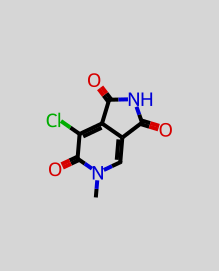 Cn1cc2c(c(Cl)c1=O)C(=O)NC2=O